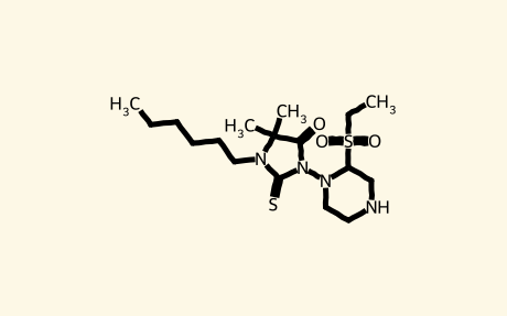 CCCCCCN1C(=S)N(N2CCNCC2S(=O)(=O)CC)C(=O)C1(C)C